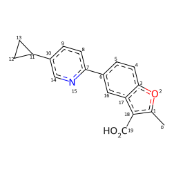 Cc1oc2ccc(-c3ccc(C4CC4)cn3)cc2c1C(=O)O